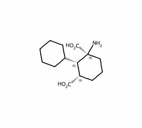 N[C@@]1(C(=O)O)CCC[C@H](C(=O)O)[C@@H]1C1CCCCC1